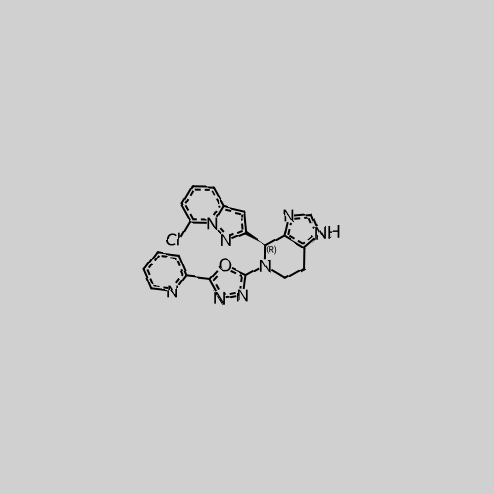 Clc1cccc2cc([C@H]3c4nc[nH]c4CCN3c3nnc(-c4ccccn4)o3)nn12